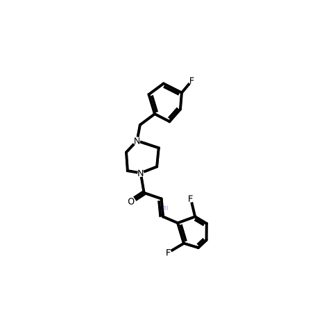 O=C(/C=C/c1c(F)cccc1F)N1CCN(Cc2ccc(F)cc2)CC1